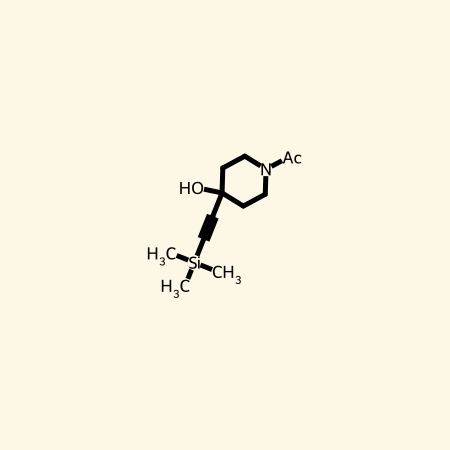 CC(=O)N1CCC(O)(C#C[Si](C)(C)C)CC1